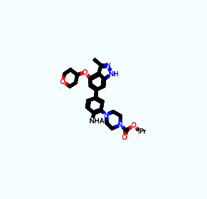 CC(=O)Nc1ccc(-c2cc(OC3CCOCC3)c3c(C)n[nH]c3c2)cc1N1CCN(C(=O)OC(C)C)CC1